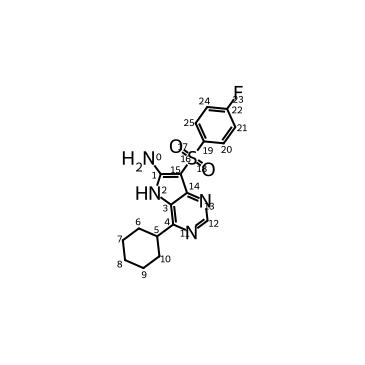 Nc1[nH]c2c(C3CCCCC3)ncnc2c1S(=O)(=O)c1ccc(F)cc1